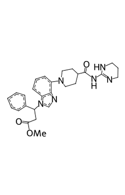 COC(=O)CC(c1ccccc1)n1cnc2c(N3CCC(C(=O)NC4=NCCCN4)CC3)cccc21